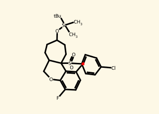 CC(C)(C)[Si](C)(C)OC1CCC2COc3c(F)ccc(F)c3C2(S(=O)(=O)c2ccc(Cl)cc2)CC1